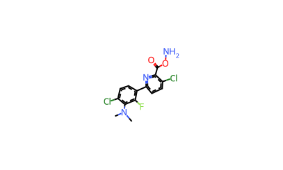 CN(C)c1c(Cl)ccc(-c2ccc(Cl)c(C(=O)ON)n2)c1F